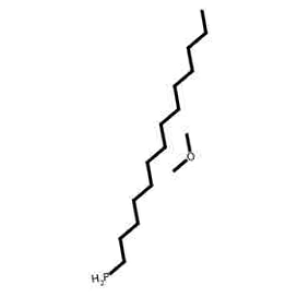 CCCCCCCCCCCCCCP.COC